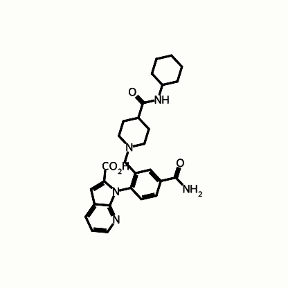 NC(=O)c1ccc(-n2c(C(=O)O)cc3cccnc32)c(CN2CCC(C(=O)NC3CCCCC3)CC2)c1